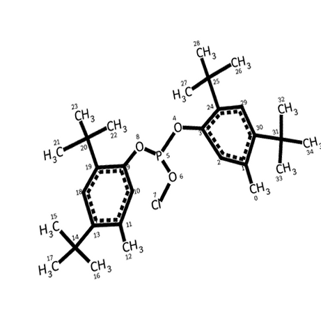 Cc1cc(OP(OCl)Oc2cc(C)c(C(C)(C)C)cc2C(C)(C)C)c(C(C)(C)C)cc1C(C)(C)C